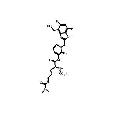 CN(C)C(=O)C=CCCC(NC(=O)O)C(=O)Nc1cccn(Cc2nc3c(CC(C)(C)C)c(F)cc(F)c3[nH]2)c1=O